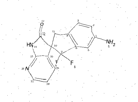 Nc1ccc2c(c1)C(F)(F)C1(C2)C(=O)Nc2ncccc21